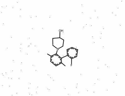 Cc1ccc(C)c(N2CCC(O)CC2)c1-c1ccccc1F